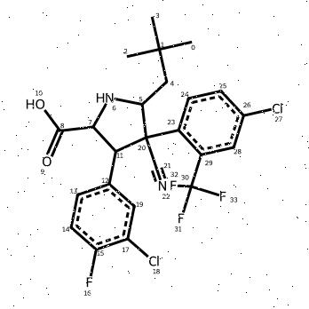 CC(C)(C)CC1NC(C(=O)O)C(c2ccc(F)c(Cl)c2)C1(C#N)c1ccc(Cl)cc1C(F)(F)F